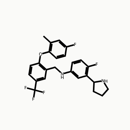 Cc1cc(F)ccc1Oc1ccc(C(F)(F)F)cc1CNc1ccc(F)c(C2CCCN2)c1